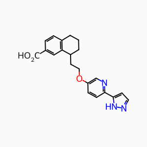 O=C(O)c1ccc2c(c1)C(CCOc1ccc(-c3ccn[nH]3)nc1)CCC2